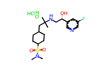 CN(C)S(=O)(=O)C1CCC(CC(C)(C)NC[C@H](O)c2cncc(F)c2)CC1.Cl.Cl